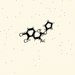 CC(=O)/C(=C/c1cccc(Cl)c1Cl)C(=O)OC1CCCC1